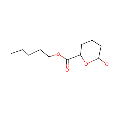 CCCCCOC(=O)C1CCCC([O])O1